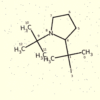 CC(C)(I)C1CCCN1C(C)(C)C